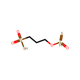 O=[SH](=S)OCCCS(=O)(=O)S